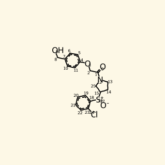 O=C(COc1ccc(CO)cc1)N1CCC([S+]([O-])c2ccccc2Cl)C1